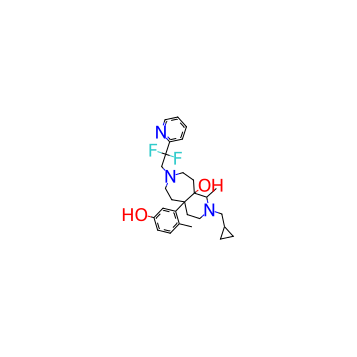 Cc1ccc(O)cc1C12CCN(CC(F)(F)c3ccccn3)CCC1(O)C(C)N(CC1CC1)CC2